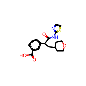 O=C(O)c1cccc(C(CC2CCOCC2)C(=O)Nc2nccs2)c1